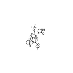 CC12COC(C(=O)N3C[C@@H]4CCC[C@@H]4[C@H]3C(=O)N[C@@H](C[C@@H]3CCNC3=O)C(=O)COC(F)(F)F)(C1)C2